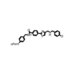 CCCCCc1ccc(CNC(=O)c2ccc(-c3nc(CNCc4ccc([O])cc4)cs3)cc2)cc1